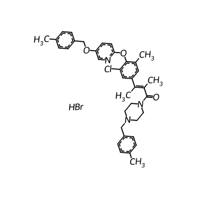 Br.CC(C(=O)N1CCN(Cc2ccc(C)cc2)CC1)=C(C)c1cc(C)c(Oc2ccc(OCc3ccc(C)cc3)cn2)c(Cl)c1